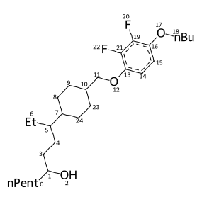 CCCCCC(O)CCC(CC)C1CCC(COc2ccc(OCCCC)c(F)c2F)CC1